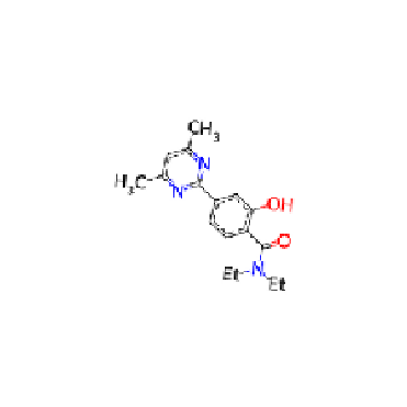 CCN(CC)C(=O)c1ccc(-c2nc(C)cc(C)n2)cc1O